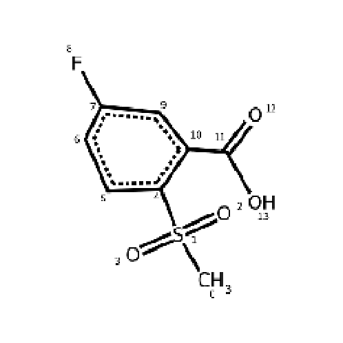 CS(=O)(=O)c1ccc(F)cc1C(=O)O